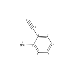 [C]#Cc1ccccc1C(C)(C)C